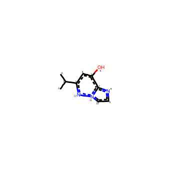 CC(C)c1cc(O)c2nccn2n1